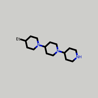 CCC1CCN(C2CCN(C3CCNCC3)CC2)CC1